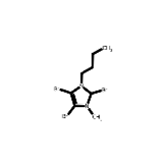 CCCCN1C(Br)=C(Br)N(C)C1Br